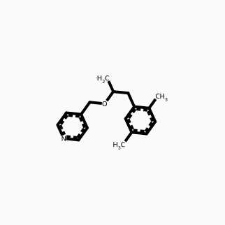 [CH2]C(Cc1cc(C)ccc1C)OCc1ccncc1